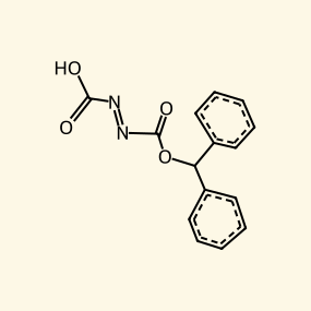 O=C(O)N=NC(=O)OC(c1ccccc1)c1ccccc1